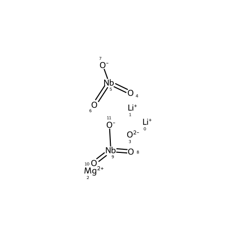 [Li+].[Li+].[Mg+2].[O-2].[O]=[Nb](=[O])[O-].[O]=[Nb](=[O])[O-]